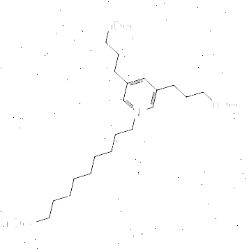 CCCCCCCCCCCCCCCCCCC[n+]1cc(CCCCCCCCCCCCC)cc(CCCCCCCCCCCCC)c1